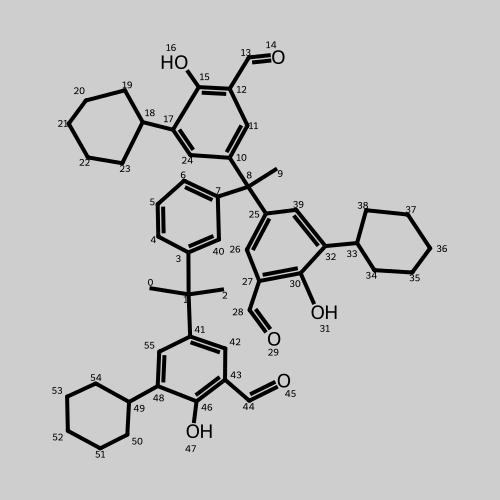 CC(C)(c1cccc(C(C)(c2cc(C=O)c(O)c(C3CCCCC3)c2)c2cc(C=O)c(O)c(C3CCCCC3)c2)c1)c1cc(C=O)c(O)c(C2CCCCC2)c1